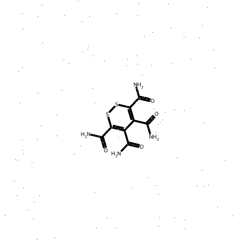 NC(=O)C1=C(C(N)=O)C(C(N)=O)=C(C(N)=O)SS1